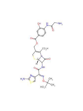 CC(C)(ON=C(C(=O)NC1C(=O)N2C(C(=O)O)=C(COC(=O)c3ccc(NC(=O)CN)c(O)c3)CS[C@@H]12)c1csc(N)n1)C(=O)O